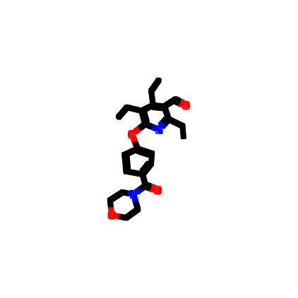 CCc1nc(Oc2ccc(C(=O)N3CCOCC3)cc2)c(CC)c(CC)c1C=O